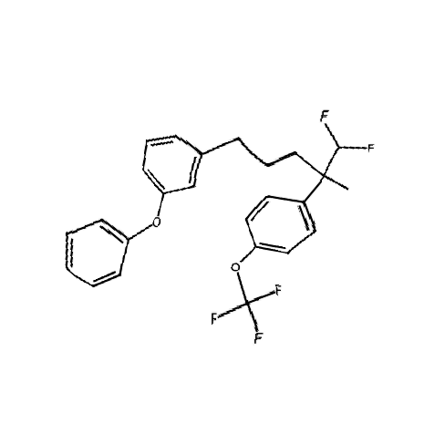 CC(CCCc1cccc(Oc2ccccc2)c1)(c1ccc(OC(F)(F)F)cc1)C(F)F